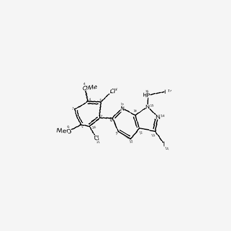 COc1cc(OC)c(Cl)c(-c2ccc3c(I)nn(PI)c3n2)c1Cl